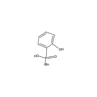 CC(C)(C)P(=O)(O)c1ccccc1O